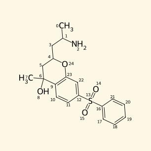 CC(N)CC1CC(C)(O)c2ccc(S(=O)(=O)c3ccccc3)cc2O1